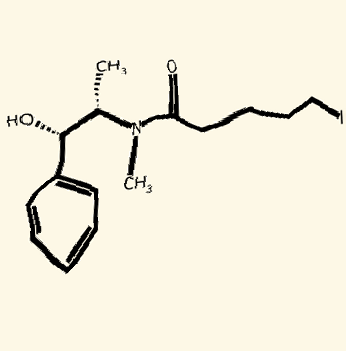 C[C@@H]([C@@H](O)c1ccccc1)N(C)C(=O)CCCCI